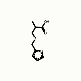 CC(CSCc1ccco1)C(=O)O